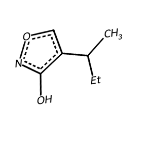 CCC(C)c1conc1O